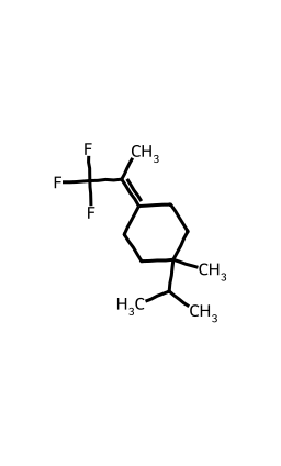 CC(=C1CCC(C)(C(C)C)CC1)C(F)(F)F